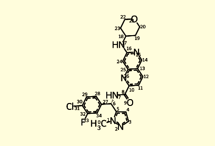 Cn1nccc1[C@@H](NC(=O)c1ccc2cnc(NC3CCOCC3)cc2n1)c1ccc(Cl)c(F)c1